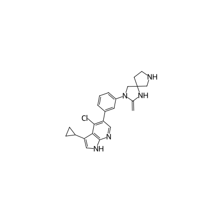 C=C1NC2(CCNC2)CN1c1cccc(-c2cnc3[nH]cc(C4CC4)c3c2Cl)c1